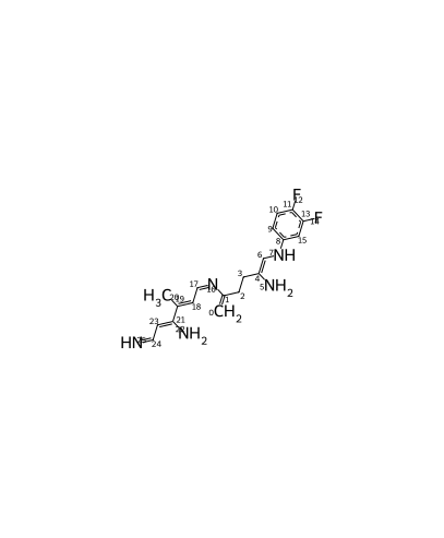 C=C(CC/C(N)=C/Nc1ccc(F)c(F)c1)\N=C/C=C(C)/C(N)=C/C=N